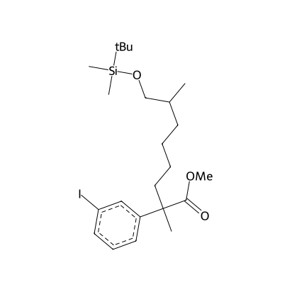 COC(=O)C(C)(CCCCC(C)CO[Si](C)(C)C(C)(C)C)c1cccc(I)c1